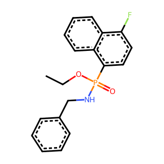 CCOP(=O)(NCc1ccccc1)c1ccc(F)c2ccccc12